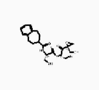 CC(C)C[C@H](NC(=O)[C@H](CO)NC(=O)C1CCc2ccccc2CC1)C(=O)[C@@]1(CO)CO1